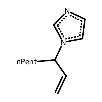 C=CC(CCCCC)n1ccnc1